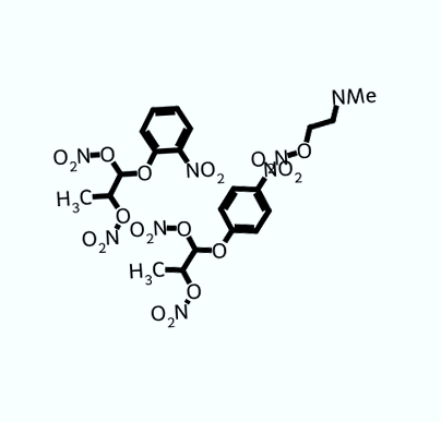 CC(O[N+](=O)[O-])C(Oc1ccc([N+](=O)[O-])cc1)O[N+](=O)[O-].CC(O[N+](=O)[O-])C(Oc1ccccc1[N+](=O)[O-])O[N+](=O)[O-].CNCCO[N+](=O)[O-]